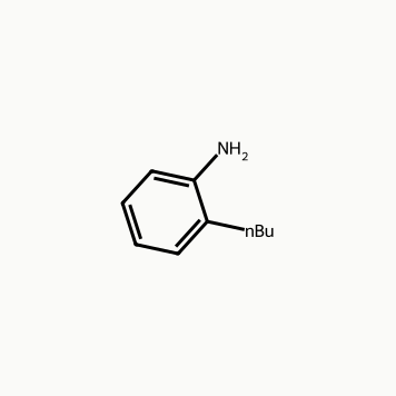 [CH2]CCCc1ccccc1N